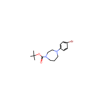 CC(C)(C)OC(=O)N1CCCN(c2ccc(Br)cc2)CC1